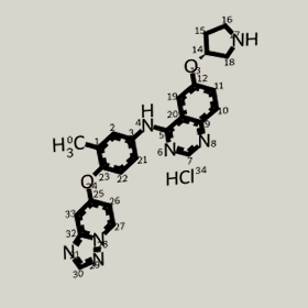 Cc1cc(Nc2ncnc3ccc(O[C@@H]4CCNC4)cc23)ccc1Oc1ccn2ncnc2c1.Cl